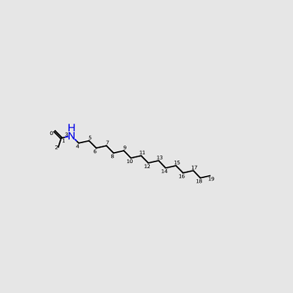 C=C(C)NCCCCCCCCCCCCCCCC